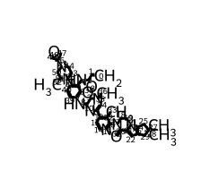 C=CC(=O)Nc1cc(Nc2nc(-c3ccnc(N4CCn5c(cc6c5CC(C)(C)C6)C4=O)c3C)cn(C)c2=O)ccc1N1CCN(C2COC2)C[C@@H]1C